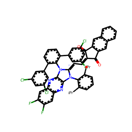 CC(C)c1cccc(C(C)C)c1N1/C(=C\C=C2C(=O)c3cc4ccccc4cc3C2=O)N(c2c(-c3cc(Cl)cc(Cl)c3)cccc2-c2cc(Cl)cc(Cl)c2)c2nc3cc(F)c(F)cc3nc21